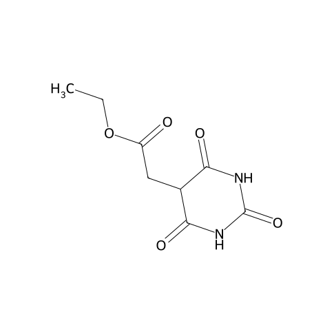 CCOC(=O)CC1C(=O)NC(=O)NC1=O